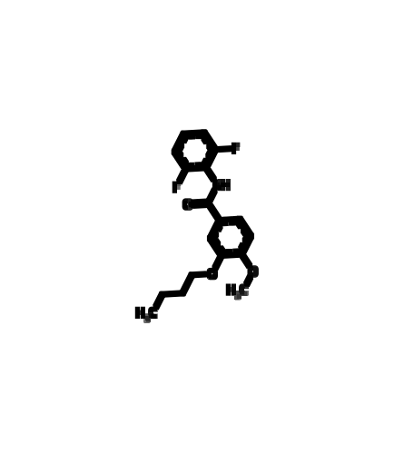 CCCCOc1cc(C(=O)Nc2c(F)cccc2F)ccc1OC